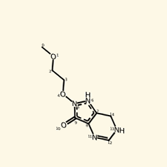 COCCOn1[nH]c2c(c1=O)N=CNC2